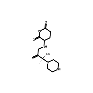 C=C(CNC1CCC(=O)NC1=O)[C@@](C)([C@@H](C)CC)N1CCNCC1